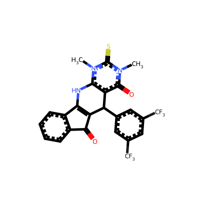 Cn1c2c(c(=O)n(C)c1=S)C(c1cc(C(F)(F)F)cc(C(F)(F)F)c1)C1=C(N2)c2ccccc2C1=O